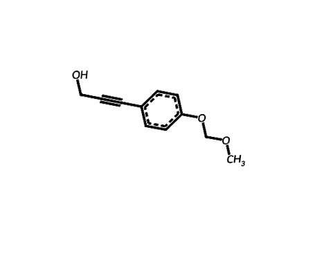 COCOc1ccc(C#CCO)cc1